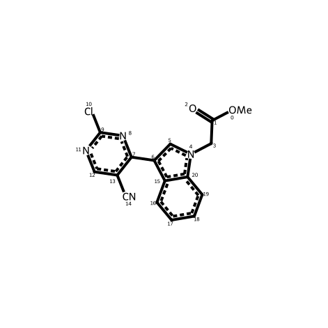 COC(=O)Cn1cc(-c2nc(Cl)ncc2C#N)c2ccccc21